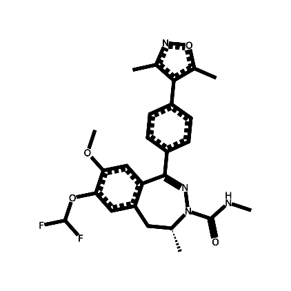 CNC(=O)N1N=C(c2ccc(-c3c(C)noc3C)cc2)c2cc(OC)c(OC(F)F)cc2C[C@H]1C